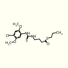 CCCSC(=O)CCCNC(=S)Nc1cc(OC)c(Cl)cc1OC